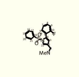 CNCc1cc(-c2ccccc2F)n(S(=O)(=O)c2ccccc2)c1